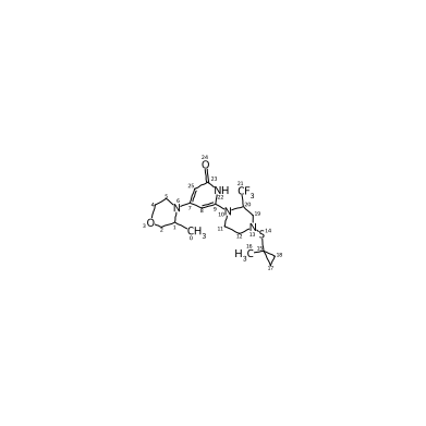 CC1COCCN1c1cc(N2CCN(SC3(C)CC3)CC2C(F)(F)F)[nH]c(=O)c1